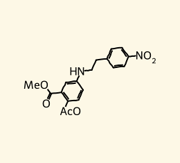 COC(=O)c1cc(NCCc2ccc([N+](=O)[O-])cc2)ccc1OC(C)=O